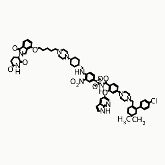 CC1(C)CCC(CN2CCN(c3ccc(C(=O)NS(=O)(=O)c4ccc(NC[C@H]5CC[C@H](N6CCN(CCCCCOc7cccc8c7CN(C7CCC(=O)NC7=O)C8=O)CC6)CC5)c([N+](=O)[O-])c4)c(Oc4cnc5[nH]ccc5c4)c3)CC2)=C(c2ccc(Cl)cc2)C1